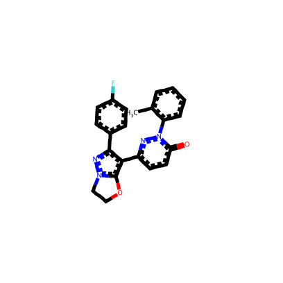 Cc1ccccc1-n1nc(-c2c(-c3ccc(F)cc3)nn3c2OCC3)ccc1=O